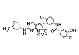 COn1c(=O)c(-c2cc(NC(=O)c3ccc(Cl)c(O)c3)ccc2Cl)cc2cnc(NCCN(C)C)nc21